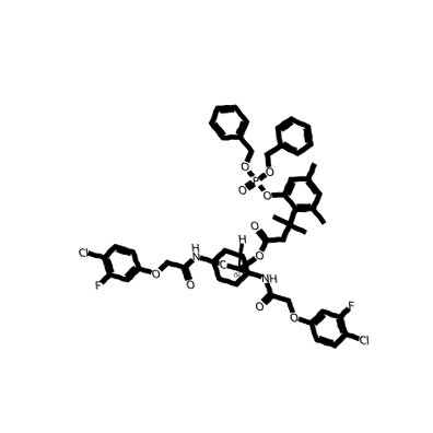 Cc1cc(C)c(C(C)(C)CC(=O)O[C@H]2CC3(NC(=O)COc4ccc(Cl)c(F)c4)CCC2(NC(=O)COc2ccc(Cl)c(F)c2)CC3)c(OP(=O)(OCc2ccccc2)OCc2ccccc2)c1